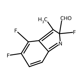 CC1=c2c(F)c(F)ccc2=NC1(F)C=O